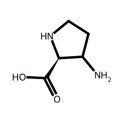 NC1CCN[C@@H]1C(=O)O